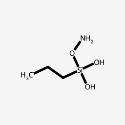 CCC[Si](O)(O)ON